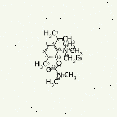 Cc1ccc(C(C)C)c([N+](C)(C)C)c1OC(=O)N(C)C.[I-]